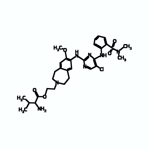 COc1cc2c(cc1Nc1ncc(Cl)c(Nc3ccccc3S(=O)(=O)N(C)C)n1)CCN(CCOC(=O)C(N)C(C)C)CC2